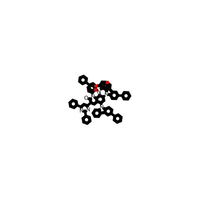 O=c1c(-c2cc(-c3ccccc3)nc(-c3ccccc3)n2)cc2c(-n3c4ccccc4c4cc(-c5ccccc5)ccc43)cc(-n3c4ccccc4c4cc(-c5ccccc5)ccc43)c(-n3c4ccccc4c4cc(-c5ccccc5)ccc43)c2n1-c1ccccc1